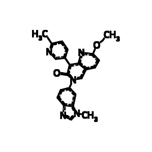 CCOc1ccc2cn(-c3ccc4ncn(C)c4c3)c(=O)c(-c3ccc(C)nc3)c2n1